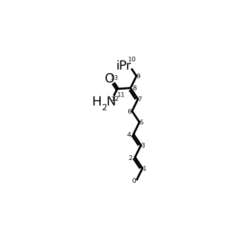 CC=CC=CCCC=C(CC(C)C)C(N)=O